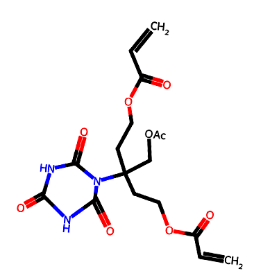 C=CC(=O)OCCC(CCOC(=O)C=C)(COC(C)=O)n1c(=O)[nH]c(=O)[nH]c1=O